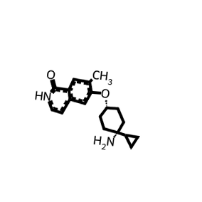 Cc1cc2c(=O)[nH]ccc2cc1O[C@H]1CC[C@](N)(C2CC2)CC1